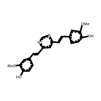 COc1cc(/C=C/c2cc(/C=C/c3ccc(O)c(OC)c3)ncn2)ccc1O